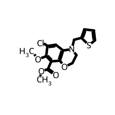 COC(=O)c1c(OC)c(Cl)cc2c1OCCN2Cc1cccs1